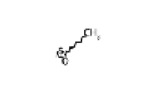 CCCCCCCCN1SC[CH]C1=O